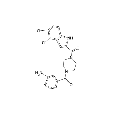 Nc1cc(C(=O)N2CCN(C(=O)c3cc4c(Cl)c(Cl)ccc4[nH]3)CC2)ccn1